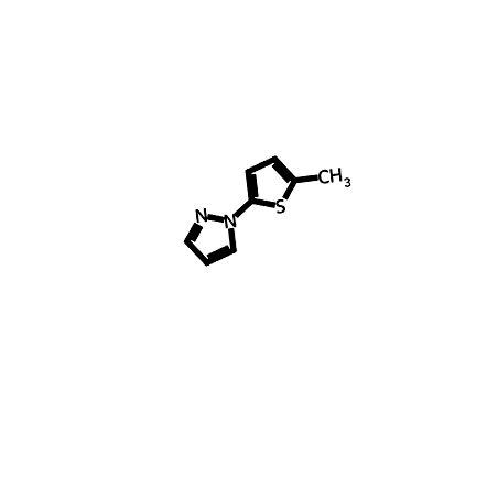 Cc1ccc(-n2cccn2)s1